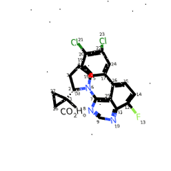 O=C(O)C1([C@@H]2CCCN2c2ncnc3c(F)ccc(-c4ccc(Cl)c(Cl)c4)c23)CC1